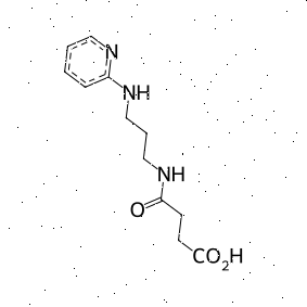 O=C(O)CCC(=O)NCCCNc1ccccn1